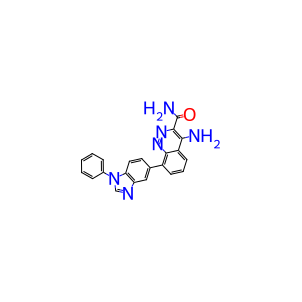 NC(=O)c1nnc2c(-c3ccc4c(c3)ncn4-c3ccccc3)cccc2c1N